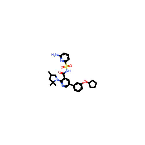 CC1CN(c2ncc(-c3cccc(OC4CCCC4)c3)cc2C(=O)NS(=O)(=O)c2cccc(N)n2)C(C)(C)C1